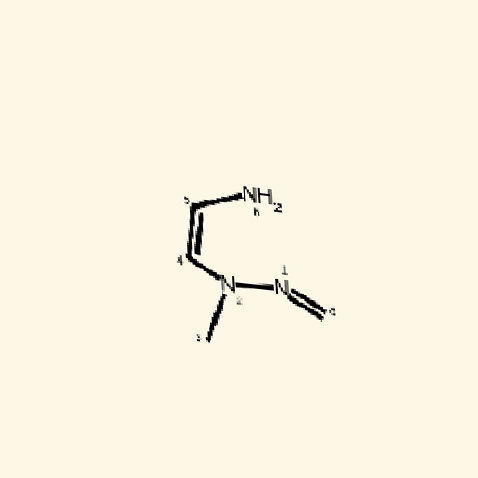 C=NN(C)/C=C\N